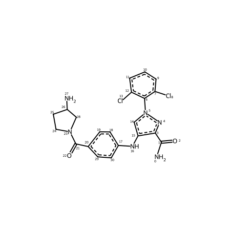 NC(=O)c1nn(-c2c(Cl)cccc2Cl)cc1Nc1ccc(C(=O)N2CCC(N)C2)cc1